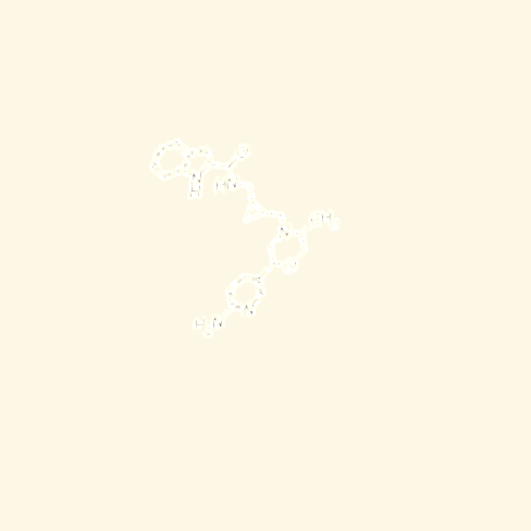 C[C@H]1CO[C@@H](c2ccc(N)nc2)CN1CC1CC1CNC(=O)c1cc2ccccc2[nH]1